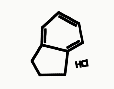 Cl.c1ccc2c(c1)CCC2